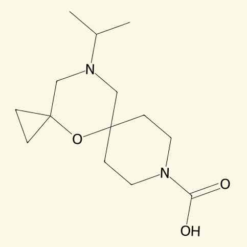 CC(C)N1CC2(CCN(C(=O)O)CC2)OC2(CC2)C1